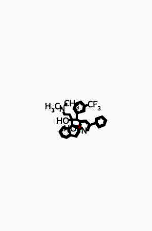 CN(C)CCC(O)(C1=C=C=Cc2ccccc21)C(c1cccc(C(F)(F)F)c1)c1cc(-c2ccccc2)cnc1O